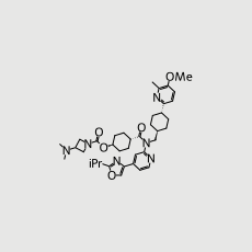 COc1ccc([C@H]2CC[C@H](CN(c3cc(-c4coc(C(C)C)n4)ccn3)C(=O)[C@H]3CC[C@H](OC(=O)N4CC(N(C)C)C4)CC3)CC2)nc1C